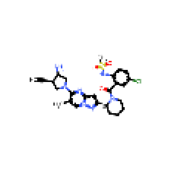 C#CC1CN(c2nc3cc([C@@H]4CCCCN4C(=O)c4cc(Cl)ccc4NS(C)(=O)=O)nn3cc2C)CC1N